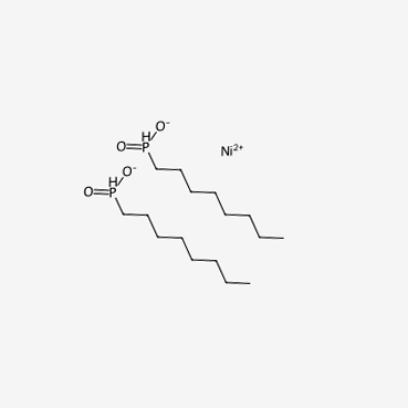 CCCCCCCC[PH](=O)[O-].CCCCCCCC[PH](=O)[O-].[Ni+2]